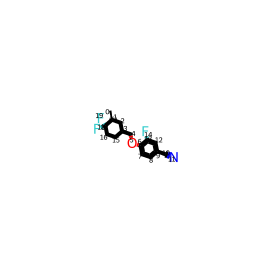 C[C@H]1CC(COc2ccc(C#N)cc2F)CCC1(F)F